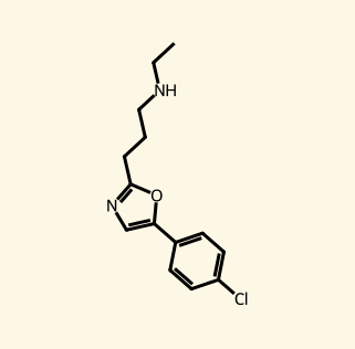 CCNCCCc1ncc(-c2ccc(Cl)cc2)o1